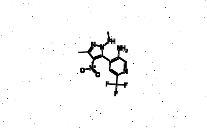 CPn1nc(C)c([N+](=O)[O-])c1-c1cc(C(F)(F)F)ncc1N